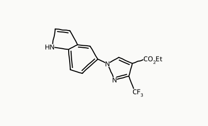 CCOC(=O)c1cn(-c2ccc3[nH]ccc3c2)nc1C(F)(F)F